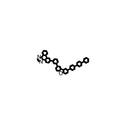 c1ccc(-c2ccc(-c3ccc(-c4ccc5oc6ccc(-c7cccc(-c8ccc9c(c8)c8ccccc8c8nccnc98)c7)cc6c5c4)cc3)cc2)cc1